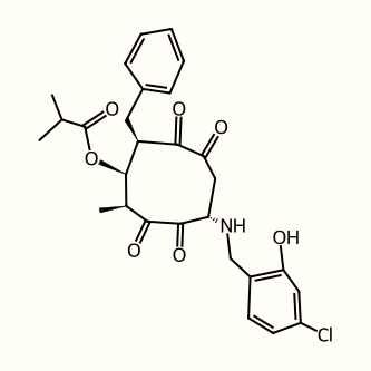 CC(C)C(=O)O[C@@H]1[C@H](C)C(=O)C(=O)[C@@H](NCc2ccc(Cl)cc2O)CC(=O)C(=O)[C@@H]1Cc1ccccc1